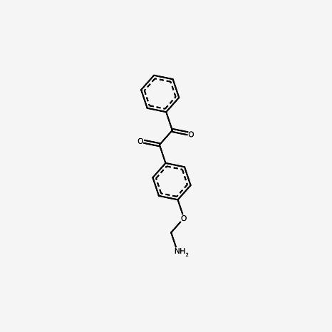 NCOc1ccc(C(=O)C(=O)c2ccccc2)cc1